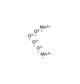 [Mn+4].[Mn+4].[O-2].[O-2].[O-2].[O-2]